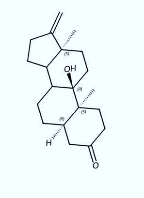 C=C1CCC2C3CC[C@@H]4CC(=O)CC[C@]4(C)[C@@]3(O)CC[C@]12C